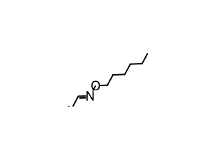 [CH2]C=NOCCCCCC